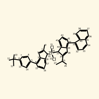 CC1=Cc2c(-c3ccc(C(C)(C)C)cc3)cccc2[CH]1[Zr]([Cl])([Cl])[CH]1C(C(C)C)=Cc2c(-c3cccc4ccccc34)cccc21